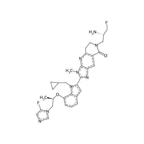 C[C@H](Cn1cncc1F)Oc1cccc2cc(-c3nc4cc5c(nc4n3C)CCN(C[C@H](N)CF)C5=O)n(CC3CC3)c12